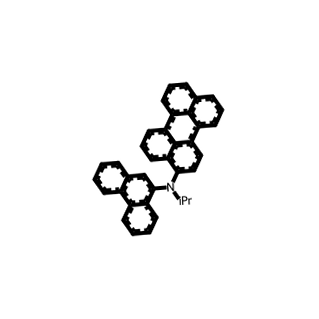 CC(C)N(c1cc2ccccc2c2ccccc12)c1ccc2c3cccc4cccc(c5cccc1c52)c43